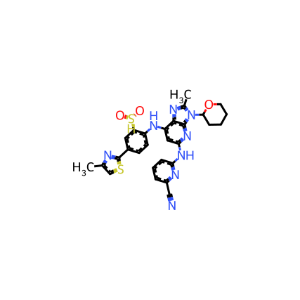 Cc1csc(-c2ccc(Nc3cc(Nc4cccc(C#N)n4)nc4c3nc(C)n4C3CCCCO3)c([SH](=O)=O)c2)n1